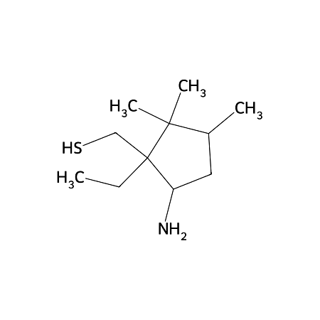 CCC1(CS)C(N)CC(C)C1(C)C